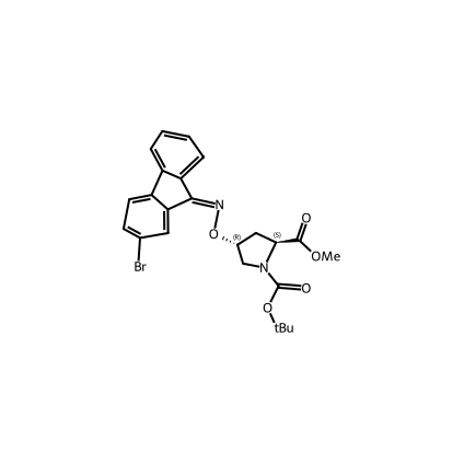 COC(=O)[C@@H]1C[C@@H](ON=C2c3ccccc3-c3ccc(Br)cc32)CN1C(=O)OC(C)(C)C